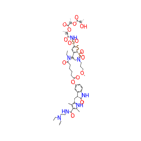 CCN(CC)CCNC(=O)c1c(C)[nH]c(CC2C(=O)Nc3ccc(OC(=O)CCCCC(=O)N(CC)[C@H]4CN(CCCOC)S(=O)(=O)c5sc(S(=O)(=O)NC(=O)[C@H](C)OC(=O)[C@H](C)OC(=O)[C@H](C)O)cc54)cc32)c1C